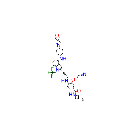 CNC(=O)c1ccc(NCC#Cc2cc3c(N[C@H]4CC[C@@H](N5CC6(COC6)C5)CC4)cccc3n2CC(F)(F)F)c(OCCC#N)c1